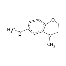 CNc1ccc2c(c1)N(C)CCO2